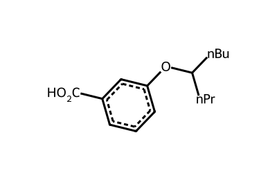 CCCCC(CCC)Oc1cccc(C(=O)O)c1